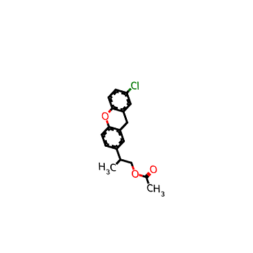 CC(=O)OCC(C)c1ccc2c(c1)Cc1cc(Cl)ccc1O2